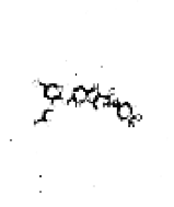 Cc1c(C(=O)NC2(C)CCS(=O)(=O)CC2)nc2ccc(Oc3ncc(Cl)cc3OCC(F)F)nn12